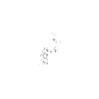 C[C@@H](Cc1cccc(CNC(=O)OC(C)(C)C)c1)Nc1nccc(N(C)c2nc(Cl)ncc2F)n1